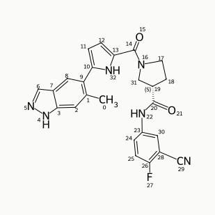 Cc1cc2[nH]ncc2cc1-c1ccc(C(=O)N2CC[C@H](C(=O)Nc3ccc(F)c(C#N)c3)C2)[nH]1